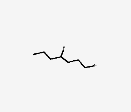 CCCC(F)CCCF